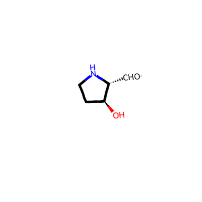 O=[C][C@H]1NCC[C@@H]1O